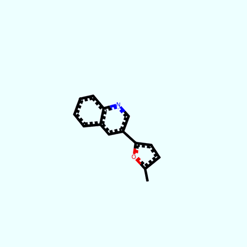 Cc1ccc(-c2cnc3ccccc3c2)o1